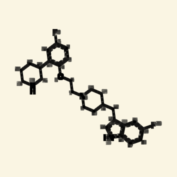 Fc1ccc(OCCN2CCC(Cc3c[nH]c4ccc(F)cc34)CC2)c(C2CCCNC2)c1